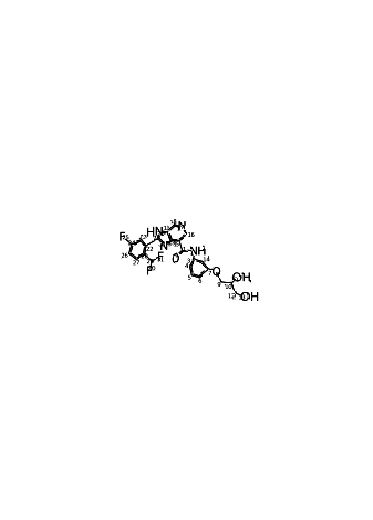 O=C(Nc1cccc(OC[C@@H](O)CO)c1)c1cncc2[nH]c(-c3cc(F)ccc3C(F)F)nc12